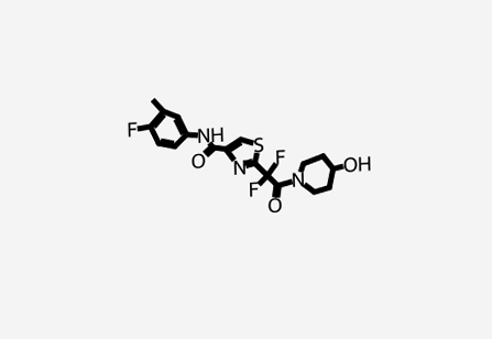 Cc1cc(NC(=O)c2csc(C(F)(F)C(=O)N3CCC(O)CC3)n2)ccc1F